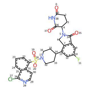 O=C1CCC(N2Cc3c(cc(F)cc3C3CCN(S(=O)(=O)c4cccc5c(Cl)nccc45)CC3)C2=O)C(=O)N1